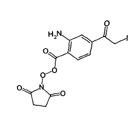 Nc1cc(C(=O)CI)ccc1C(=O)OON1C(=O)CCC1=O